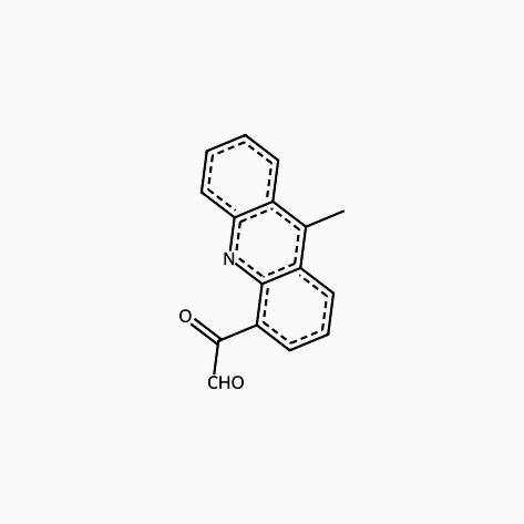 Cc1c2ccccc2nc2c(C(=O)C=O)cccc12